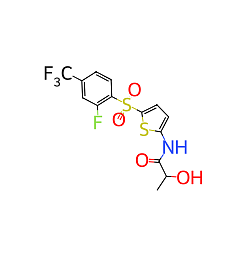 CC(O)C(=O)Nc1ccc(S(=O)(=O)c2ccc(C(F)(F)F)cc2F)s1